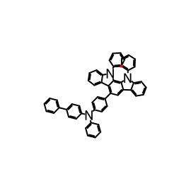 c1ccc(-c2ccc(N(c3ccccc3)c3ccc(-c4cc5c6ccccc6n(-c6ccccc6)c5c5c4c4ccccc4n5-c4ccccc4)cc3)cc2)cc1